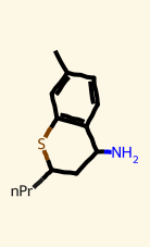 CCCC1CC(N)c2ccc(C)cc2S1